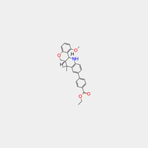 CCOC(=O)c1ccc(-c2ccc3c(c2)C(C)(C)[C@@H]2COc4cccc(OC)c4[C@H]2N3)cc1